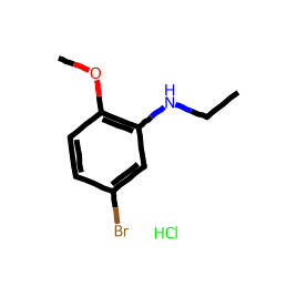 CCNc1cc(Br)ccc1OC.Cl